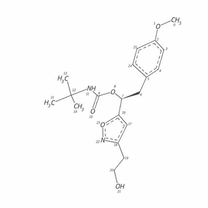 COc1ccc(C[C@H](OC(=O)NC(C)(C)C)c2cc(CCO)no2)cc1